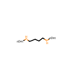 CCCCCCCCCCPCCCCPCCCCCCCCCC